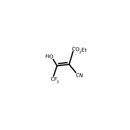 CCOC(=O)/C(C#N)=C(\O)C(F)(F)F